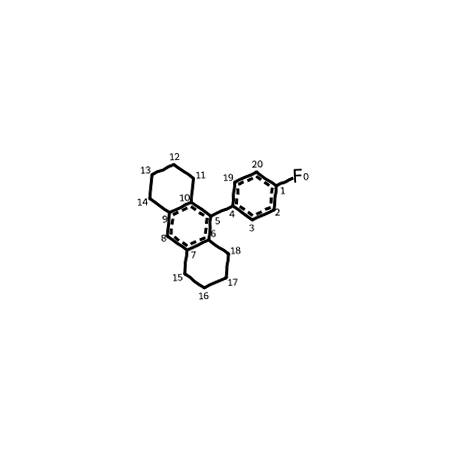 Fc1ccc(-c2c3c(cc4c2CCCC4)CCCC3)cc1